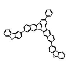 C1=CC2Oc3ccc(-c4ccc5cc6c7cc(-c8ccccc8)cc8c9cc%10ccc(-c%11ccc%12oc%13ccccc%13c%12c%11)cc%10cc9n(c6cc5c4)c78)cc3C2C=C1